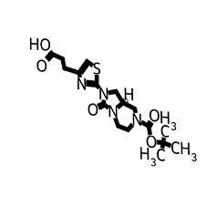 CC(C)(C)OC(=O)N1CCN2C(=O)N(c3nc(CCC(=O)O)cs3)C[C@@H]2C1